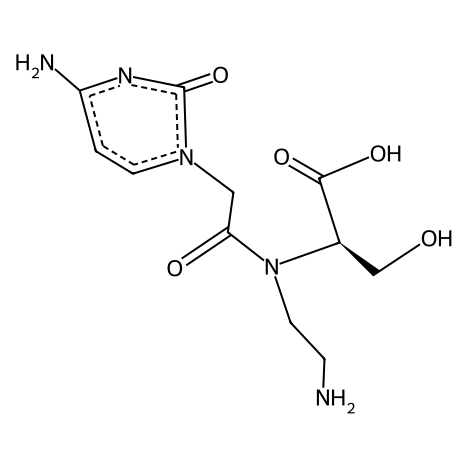 NCCN(C(=O)Cn1ccc(N)nc1=O)[C@H](CO)C(=O)O